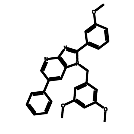 COc1cc(Cn2c(-c3cccc(OC)c3)nc3ncc(-c4ccccc4)cc32)cc(OC)c1